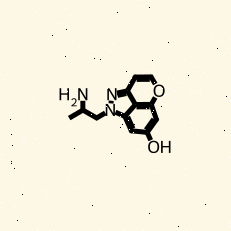 CC(N)Cn1nc2c3c(cc(O)cc31)OC=C2